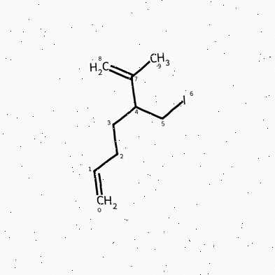 C=CCCC(CI)C(=C)C